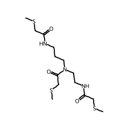 CSCC(=O)NCCCN(CCNC(=O)CSC)C(=O)CSC